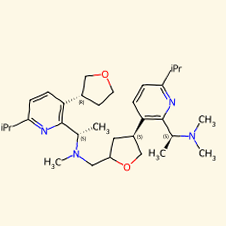 CC(C)c1ccc([C@H]2COC(CN(C)[C@@H](C)c3nc(C(C)C)ccc3[C@H]3CCOC3)C2)c([C@H](C)N(C)C)n1